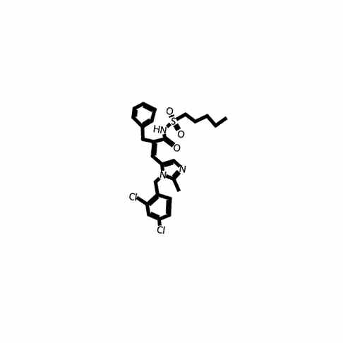 CCCCCS(=O)(=O)NC(=O)C(=Cc1cnc(C)n1Cc1ccc(Cl)cc1Cl)Cc1ccccc1